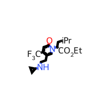 CCOC(=O)C(CC(C)C)n1cc(CCNC2CC2)c(C(F)(F)F)cc1=O